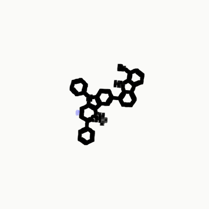 C=C(/C=C\c1c(C)c2cc(-c3cccc4c3[nH]c3c(Br)cccc34)ccc2n1-c1ccccc1)c1ccccc1